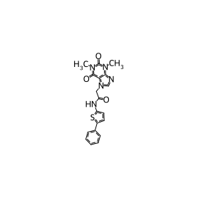 Cn1c(=O)c2c(ncn2CC(=O)Nc2ccc(-c3ccccc3)s2)n(C)c1=O